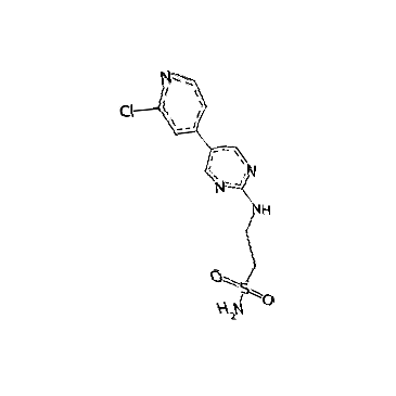 NS(=O)(=O)CCNc1ncc(-c2ccnc(Cl)c2)cn1